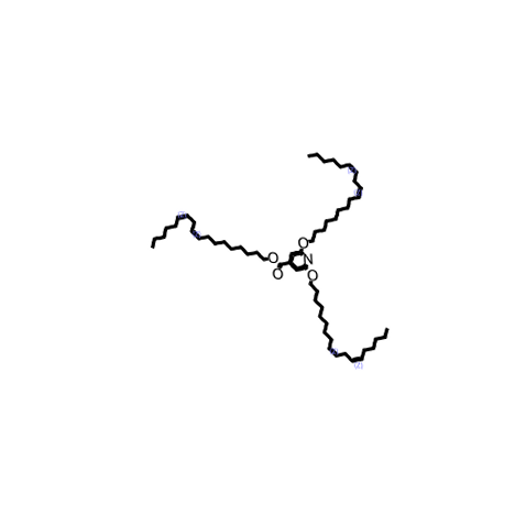 CCCCC/C=C\C/C=C\CCCCCCCCOC(=O)c1cc(OCCCCCCCC/C=C\C/C=C\CCCCC)nc(OCCCCCCCC/C=C\C/C=C\CCCCC)c1